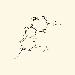 CC(=O)Oc1c(C)sc2cc(O)cc(C)c12